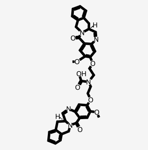 COc1cc2c(cc1OCCN(CCOc1cc3c(cc1OC)C(=O)N1Cc4ccccc4C[C@H]1C=N3)C(=O)O)N=C[C@@H]1Cc3ccccc3CN1C2=O